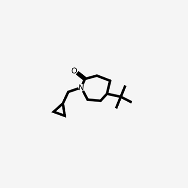 CC(C)(C)C1CCC(=O)N(CC2CC2)CC1